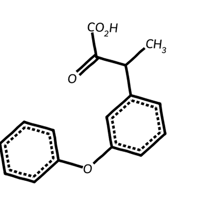 CC(C(=O)C(=O)O)c1cccc(Oc2ccccc2)c1